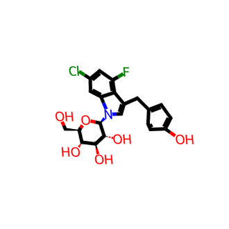 OC[C@H]1O[C@@H](n2cc(Cc3ccc(O)cc3)c3c(F)cc(Cl)cc32)[C@H](O)[C@@H](O)[C@@H]1O